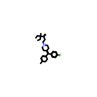 C=C(CCN1CCC(=C(C2=CC=C(C)CC2)c2ccc(F)cc2)CC1)C(C)(CC)CC